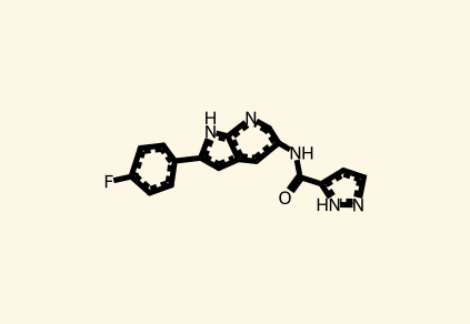 O=C(Nc1cnc2[nH]c(-c3ccc(F)cc3)cc2c1)c1ccn[nH]1